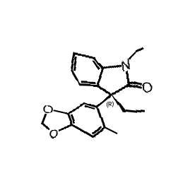 CC[C@]1(c2cc3c(cc2C)OCO3)C(=O)N(C)c2ccccc21